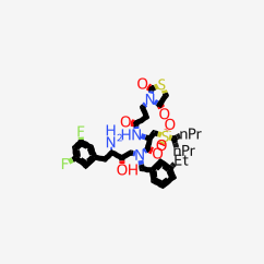 CCCC(CCC)S(=O)(=O)CC(NC(=O)CCN1C(=O)CSC1=O)C(=O)N(Cc1cccc(CC)c1)CC(O)[C@@H](N)Cc1cc(F)cc(F)c1